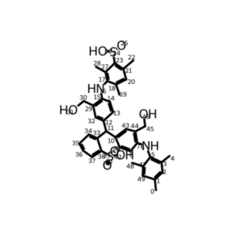 Cc1cc(C)c(Nc2ccc(C(c3ccc(Nc4c(C)cc(C)c(S(=O)O)c4C)c(CO)c3)c3ccccc3S(=O)(=O)O)cc2CO)c(C)c1